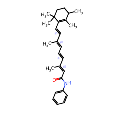 CC1=C(/C=C/C(C)=C/C=C/C(C)=C/C(=O)Nc2ccccc2)C(C)(C)CCC1C